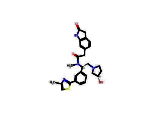 Cc1csc(-c2cccc([C@@H](CN3CC[C@H](O)C3)N(C)C(=O)Cc3ccc4c(c3)NC(=O)C4)c2)n1